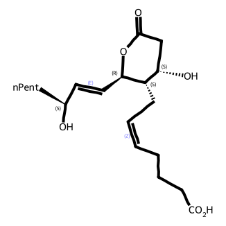 CCCCC[C@H](O)/C=C/[C@H]1OC(=O)C[C@H](O)[C@@H]1C/C=C\CCCC(=O)O